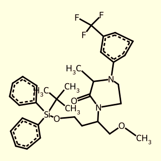 COCC(CCO[Si](c1ccccc1)(c1ccccc1)C(C)(C)C)N1CCN(c2cccc(C(F)(F)F)c2)C(C)C1=O